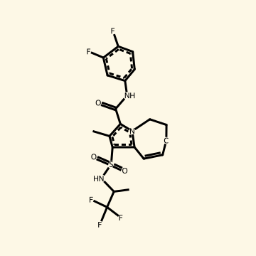 Cc1c(S(=O)(=O)NC(C)C(F)(F)F)c2n(c1C(=O)Nc1ccc(F)c(F)c1)CCCC=C2